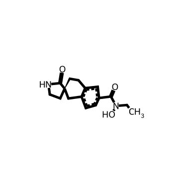 CCN(O)C(=O)c1ccc2c(c1)CC[C@]1(CCNC1=O)C2